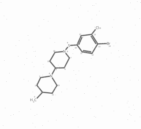 CC1CCN(C2CCN(Sc3ccc(Br)c(Cl)c3)CC2)CC1